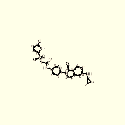 O=C(Nc1ccc(-n2ccc3cc(NC4CC4)ccc3c2=O)nc1)NS(=O)(=O)c1ccc(Cl)s1